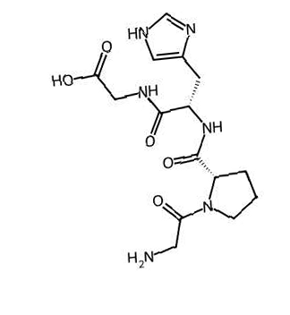 NCC(=O)N1CCC[C@H]1C(=O)N[C@@H](Cc1c[nH]cn1)C(=O)NCC(=O)O